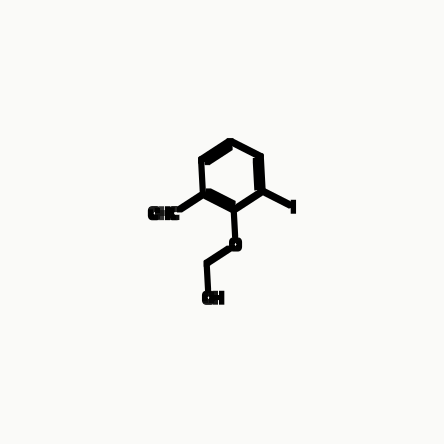 O=Cc1cccc(I)c1OCO